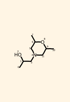 CC(O)CN1CC(C)OC(C)C1